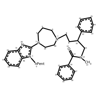 CCCCCn1c(N2CCCN(CCC(CN(C)C(=O)c3ccccc3)c3ccccc3)CC2)nc2ccccc21